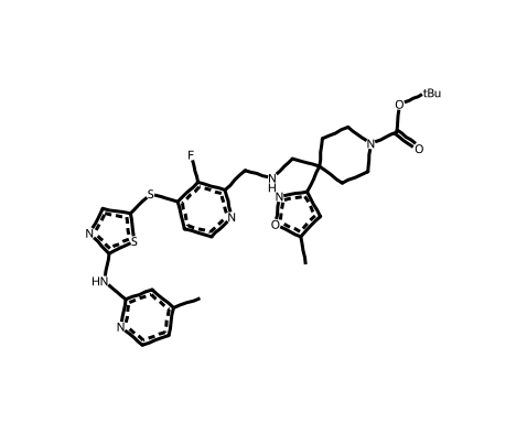 Cc1ccnc(Nc2ncc(Sc3ccnc(CNCC4(c5cc(C)on5)CCN(C(=O)OC(C)(C)C)CC4)c3F)s2)c1